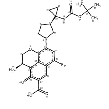 C[C@H]1COc2c(N3CC[C@@H](C4(NC(=O)OC(C)(C)C)CC4)C3)cc(F)c3cc(C(=O)O)c(=O)n1c23